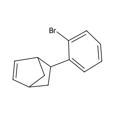 Brc1ccccc1C1CC2C=CC1C2